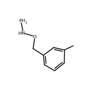 Cc1cccc(CONP)c1